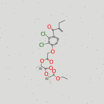 C=C(CC)C(=O)c1ccc(OCC(=O)O[C@@H](C)C(=O)O[C@@H](C)C(=O)OCC)c(Cl)c1Cl